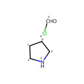 C1CCNC1.O=CCl